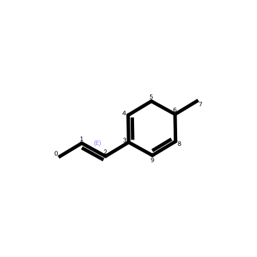 C/C=C/C1=CCC(C)C=C1